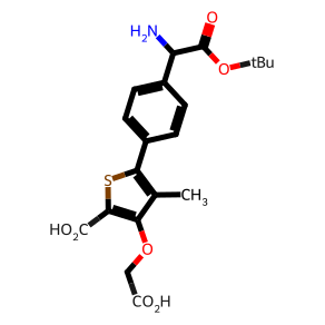 Cc1c(-c2ccc(C(N)C(=O)OC(C)(C)C)cc2)sc(C(=O)O)c1OCC(=O)O